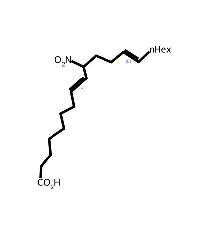 CCCCCC/C=C/CCC(/C=C/CCCCCCC(=O)O)[N+](=O)[O-]